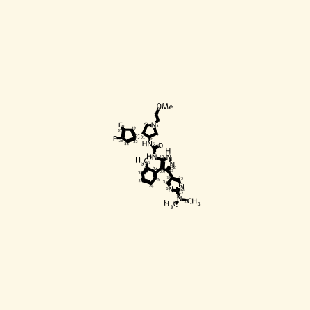 COCCN1C[C@@H](NC(=O)Nc2[nH]nc(-c3cnc(N(C)C)nc3)c2-c2ccccc2C)[C@H](c2ccc(F)c(F)c2)C1